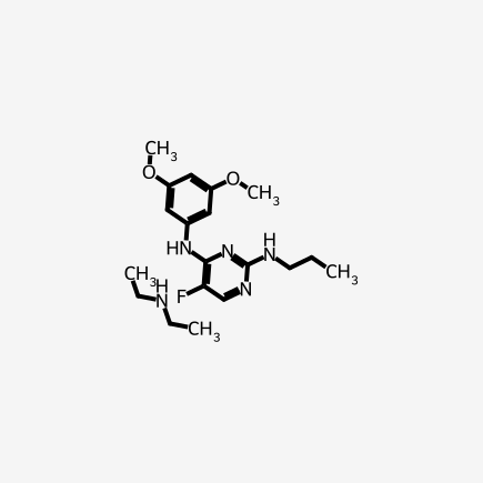 CCCNc1ncc(F)c(Nc2cc(OC)cc(OC)c2)n1.CCNCC